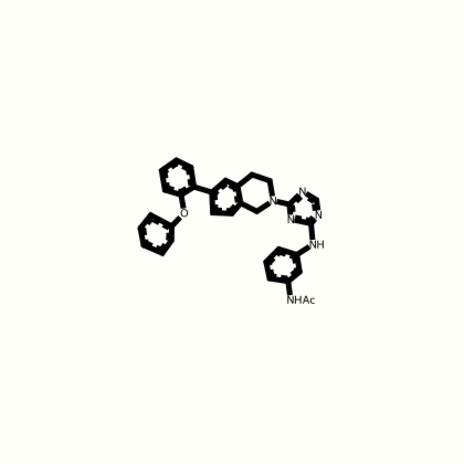 CC(=O)Nc1cccc(Nc2ncnc(N3CCc4cc(-c5ccccc5Oc5ccccc5)ccc4C3)n2)c1